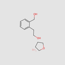 B.C1CCOC1.OCCc1ccccc1CO